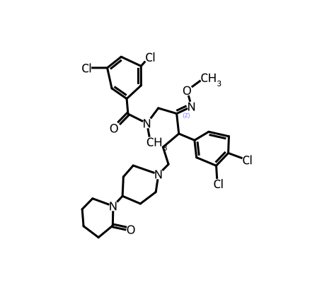 CO/N=C(\CN(C)C(=O)c1cc(Cl)cc(Cl)c1)C(CCN1CCC(N2CCCCC2=O)CC1)c1ccc(Cl)c(Cl)c1